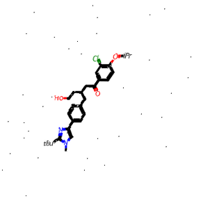 CC(C)Oc1ccc(C(=O)CC(CCO)Cc2ccc(-c3cn(C)c(C(C)(C)C)n3)cc2)cc1Cl